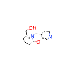 O=C1CCC[C@@H](CO)N1Cc1ccncc1